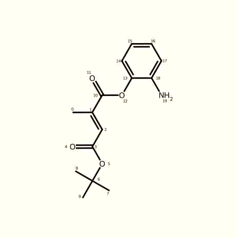 CC(=CC(=O)OC(C)(C)C)C(=O)Oc1ccccc1N